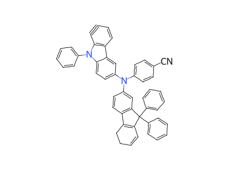 N#Cc1ccc(N(c2ccc3c(c2)C(c2ccccc2)(c2ccccc2)C2=C3CCC=C2)c2ccc3c(c2)c2ccc#cc2n3-c2ccccc2)cc1